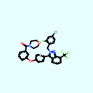 O=C(c1cccc(Oc2ccc(-c3c4cccc(C(F)(F)F)c4nn3Cc3ccc(Cl)cc3F)cc2)c1)N1CCOCC1